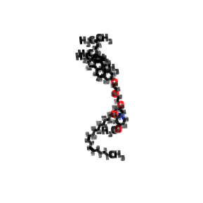 CCCCC/C=C\C/C=C\CCCCCCCCOCC(CN1CCC(OC)CC1)OCCOCCO[C@H]1CC[C@@]2(C)C(=CCC3C2CC[C@@]2(C)C3CC[C@]2(C)C(C)(C)CCCC(C)C)C1